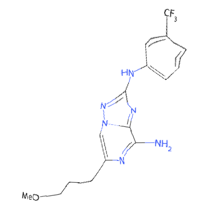 COCCCc1cn2nc(Nc3cccc(C(F)(F)F)c3)nc2c(N)n1